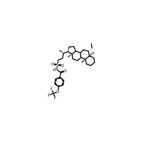 CC[C@H]1CC2C3CC[C@H]([C@H](C)CCS(=O)(=O)NC(=O)c4ccc(OC(F)(F)F)cc4)[C@@]3(C)CCC2[C@@]2(C)CCCC[C@@H]12